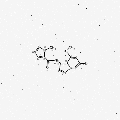 COc1cc(Br)cn2ncc(NC(=O)c3cncn3C)c12